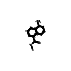 Bc1cccc2c(C(=O)OC)cccc12